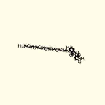 O=C1CCC(N2C(=O)c3cccc(NCCOCCOCCOCCOCCOCCOCCOCCO)c3C2=O)C(=O)N1